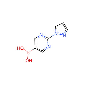 OB(O)c1cnc(-n2cccn2)nc1